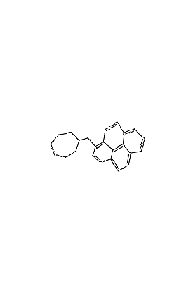 c1cc2ccc3ccc(CC4CCCCCC4)c4ccc(c1)c2c34